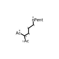 CCCCCCCCC(C(C)=O)C(C)=O